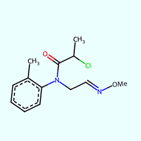 CON=CCN(C(=O)C(C)Cl)c1ccccc1C